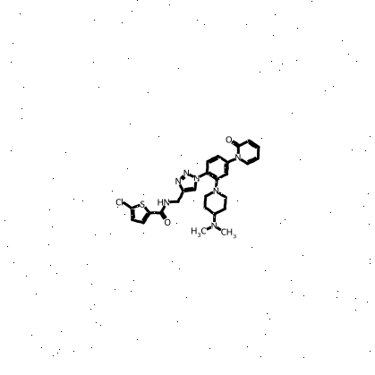 CN(C)C1CCN(c2cc(-n3ccccc3=O)ccc2-n2cc(CNC(=O)c3ccc(Cl)s3)nn2)CC1